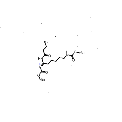 CC(C)(C)CCC(=O)N/C(CCCCCNC(=O)OC(C)(C)C)=N/C(=O)OC(C)(C)C